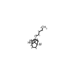 CCCCO[C@@H]1C[C@H]2CC[C@@H](C1)[C@@H]2N